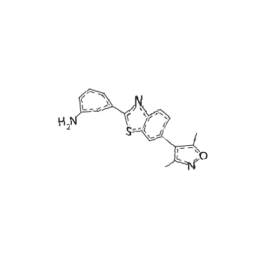 Cc1noc(C)c1-c1ccc2nc(-c3cccc(N)c3)sc2c1